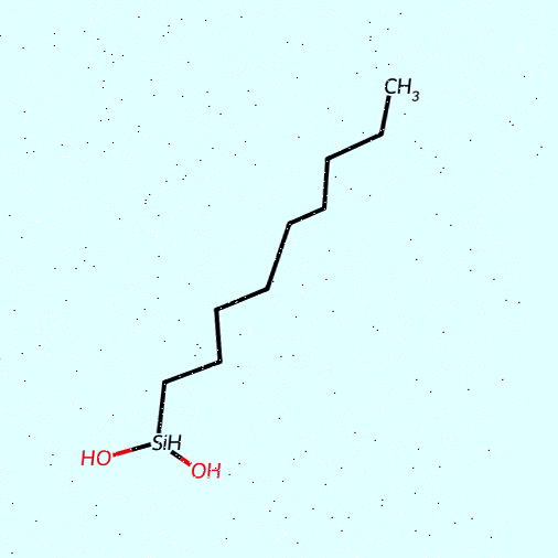 CCCCCCCCC[SiH](O)O